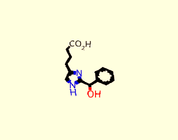 O=C(O)CCCc1c[nH]c(C(O)c2ccccc2)n1